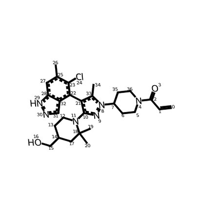 C=CC(=O)N1CCC(n2nc(N3CCC(CO)CC3(C)C)c(-c3c(Cl)c(C)cc4[nH]ncc34)c2C)CC1